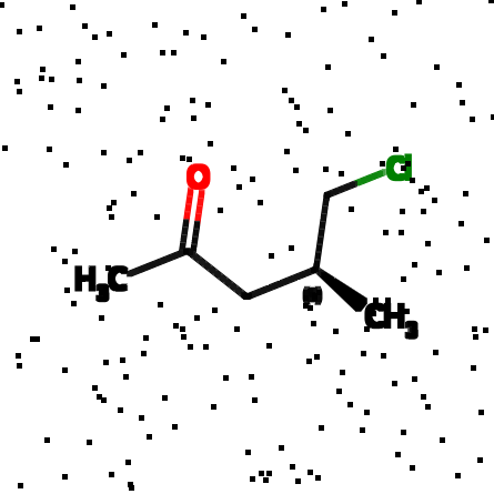 CC(=O)C[C@H](C)CCl